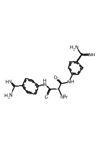 CCCC(C(=O)Nc1ccc(C(=N)N)cc1)C(=O)Nc1ccc(C(=N)N)cc1